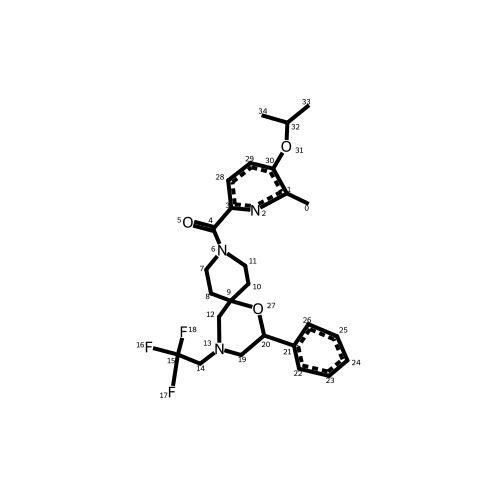 Cc1nc(C(=O)N2CCC3(CC2)CN(CC(F)(F)F)CC(c2ccccc2)O3)ccc1OC(C)C